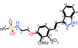 CCCS(=O)(=O)NCCOc1ccc(/C=C/c2n[nH]c3ccccc23)c([N+](=O)[O-])c1OC